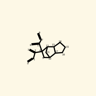 C=CC(=C)C1(C(=C)C=C)CC2CC1C1CCCC21